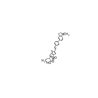 CCC(C(=O)O)N1Cc2sc(/C=C/c3ccc(-c4ccc5c(c4)CCN5C)cc3)cc2S1(=O)=O